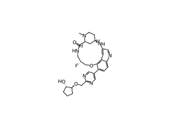 CN1CC[C@H]2C[C@H]1C(=O)NC[C@@H](F)COc1c(-c3cnc(CO[C@H]4CCC[C@@H]4O)nc3)ccc3ncc(cc13)N2